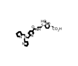 O=C(O)C[C@@H]1CC[C@H](SCCNC(=O)c2ccc(CN(Cc3ccccn3)Cc3ccccn3)nc2)B(O)O1